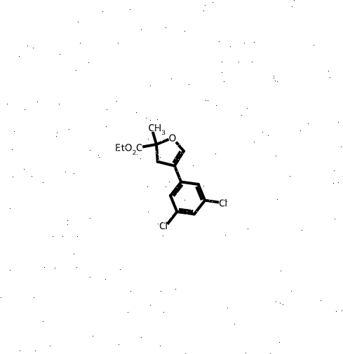 CCOC(=O)C1(C)CC(c2cc(Cl)cc(Cl)c2)=CO1